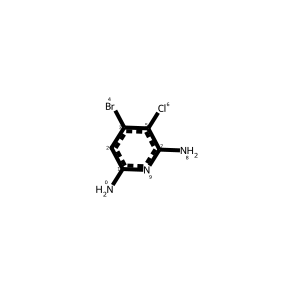 Nc1cc(Br)c(Cl)c(N)n1